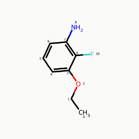 CCOc1cccc(N)c1F